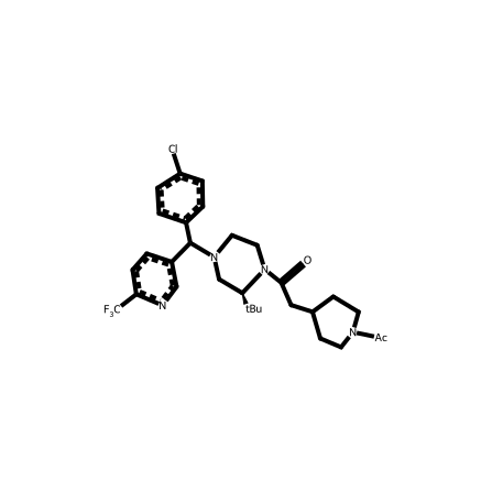 CC(=O)N1CCC(CC(=O)N2CCN(C(c3ccc(Cl)cc3)c3ccc(C(F)(F)F)nc3)C[C@@H]2C(C)(C)C)CC1